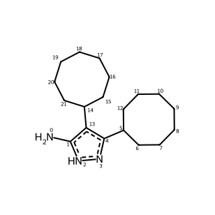 Nc1[nH]nc(C2CCCCCCC2)c1C1CCCCCCC1